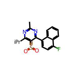 Cc1nc(-c2ccc(F)c3ccccc23)c([SH](=O)=O)c(C(C)C)n1